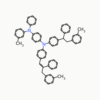 Cc1cccc(C/C(=C/c2ccc(N(c3ccc(C(Cc4cccc(C)c4)c4ccccc4)cc3)c3ccc(N(c4ccccc4)c4cccc(C)c4)cc3)cc2)c2ccccc2)c1